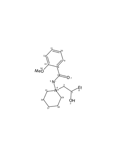 CCC(O)C[N+]1([N-]C(=O)c2ccccc2OC)CCCCC1